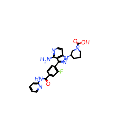 Nc1nccc2c1c(-c1ccc(C(=O)Nc3ccccn3)cc1F)nn2[C@@H]1CCCN(C(=O)O)C1